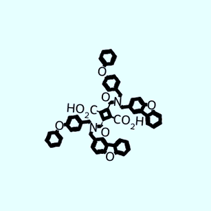 O=C(O)[C@H]1[C@H](C(=O)N(Cc2ccc(Oc3ccccc3)cc2)Cc2ccc3oc4ccccc4c3c2)[C@H](C(=O)O)[C@H]1C(=O)N(Cc1ccc(Oc2ccccc2)cc1)Cc1ccc2oc3ccccc3c2c1